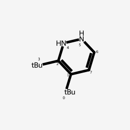 CC(C)(C)C1=C(C(C)(C)C)NNC=C1